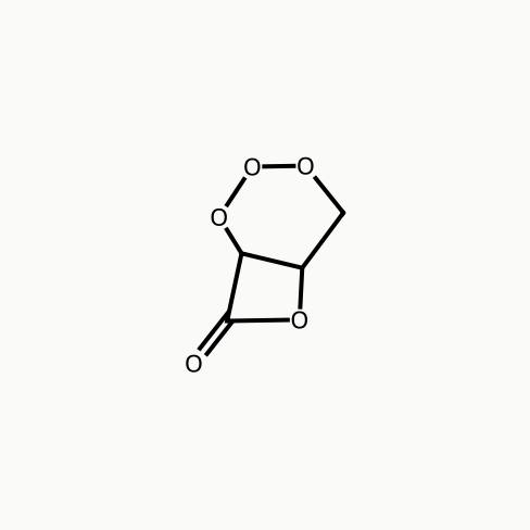 O=C1OC2COOOC12